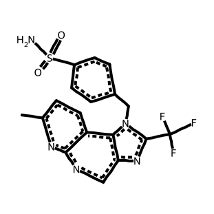 Cc1ccc2c(ncc3nc(C(F)(F)F)n(Cc4ccc(S(N)(=O)=O)cc4)c32)n1